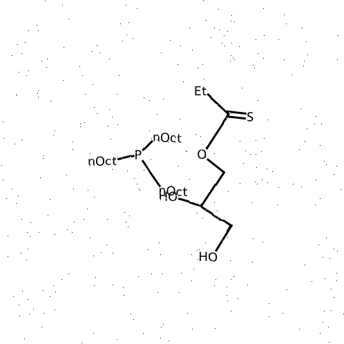 CCC(=S)OCC(O)CO.CCCCCCCCP(CCCCCCCC)CCCCCCCC